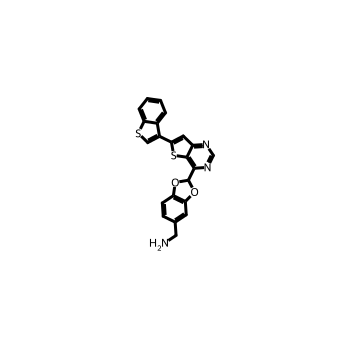 NCc1ccc2c(c1)OC(c1ncnc3cc(-c4csc5ccccc45)sc13)O2